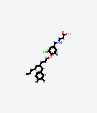 CCCCCC(CCCOc1c(Cl)cc(CNCCC(=O)O)cc1Cl)Cc1ccc(C)c(C)c1